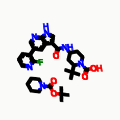 CC(C)(C)C1CC(NC(=O)c2c[nH]c3ncc(-c4cccnc4F)cc23)CCN1C(=O)O.CC(C)(C)OC(=O)N1CCCCC1